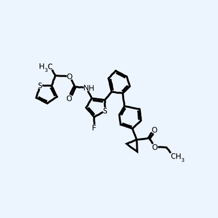 CCOC(=O)C1(c2ccc(-c3ccccc3-c3sc(F)cc3NC(=O)OC(C)c3cccs3)cc2)CC1